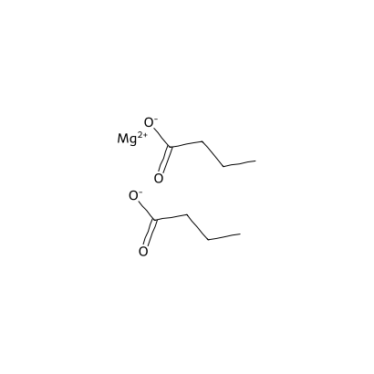 CCCC(=O)[O-].CCCC(=O)[O-].[Mg+2]